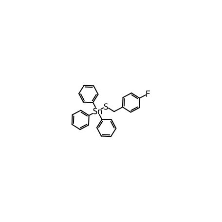 Fc1ccc(C[S][Sn]([c]2ccccc2)([c]2ccccc2)[c]2ccccc2)cc1